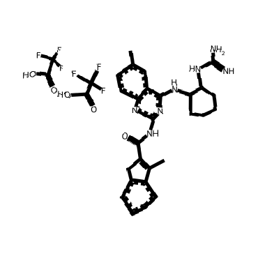 CC1=C(C(=O)Nc2nc(NC3CCCCC3NC(=N)N)c3cc(C)ccc3n2)Cc2ccccc21.O=C(O)C(F)(F)F.O=C(O)C(F)(F)F